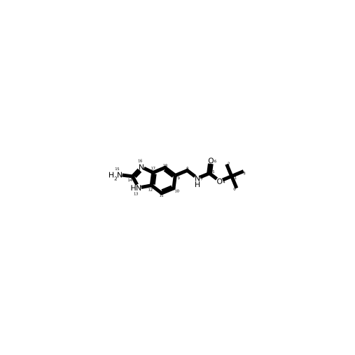 CC(C)(C)OC(=O)NCc1ccc2[nH]c(N)nc2c1